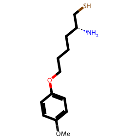 COc1ccc(OCCCC[C@@H](N)CS)cc1